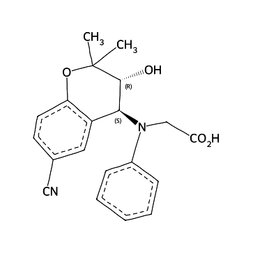 CC1(C)Oc2ccc(C#N)cc2[C@H](N(CC(=O)O)c2ccccc2)[C@H]1O